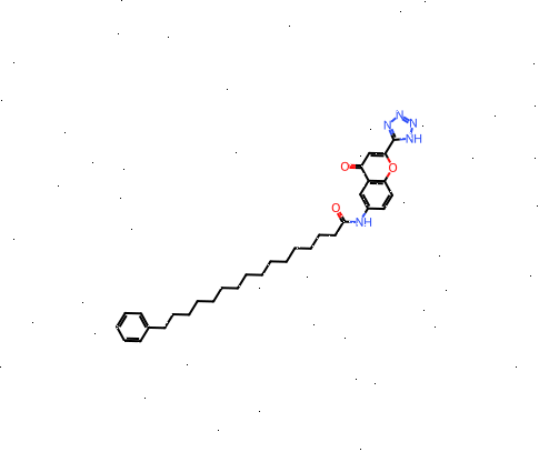 O=C(CCCCCCCCCCCCCCCc1ccccc1)Nc1ccc2oc(-c3nnn[nH]3)cc(=O)c2c1